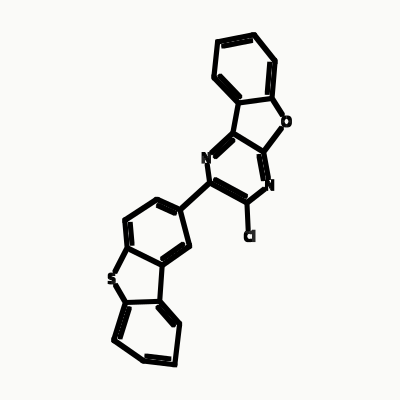 Clc1nc2oc3ccccc3c2nc1-c1ccc2sc3ccccc3c2c1